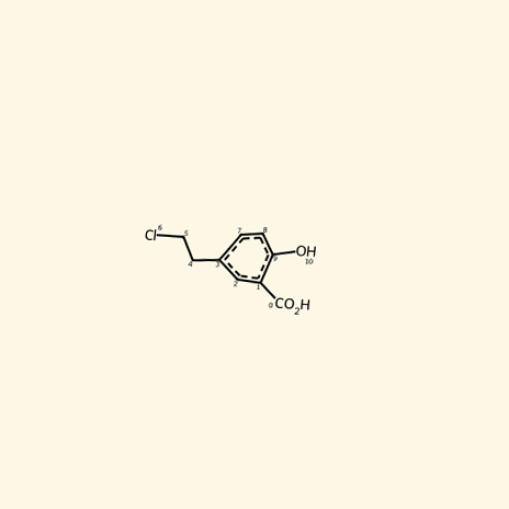 O=C(O)c1cc(CCCl)ccc1O